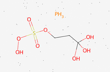 O=S(=O)(OO)OCCC(O)(O)O.P